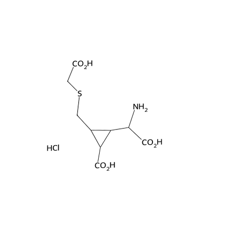 Cl.NC(C(=O)O)C1C(CSCC(=O)O)C1C(=O)O